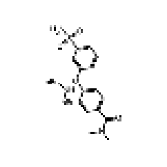 CCCCNCCCC.CN(C)C(=O)c1ccc(Oc2cccc(S(N)(=O)=O)c2)cc1